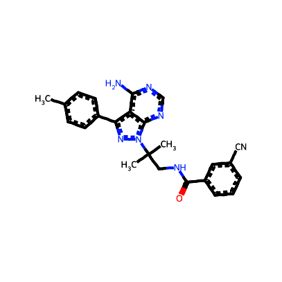 Cc1ccc(-c2nn(C(C)(C)CNC(=O)c3cccc(C#N)c3)c3ncnc(N)c23)cc1